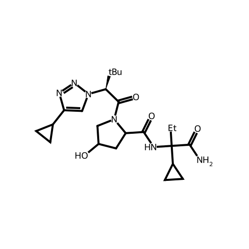 CCC(NC(=O)C1CC(O)CN1C(=O)[C@@H](n1cc(C2CC2)nn1)C(C)(C)C)(C(N)=O)C1CC1